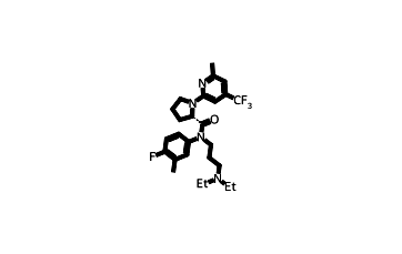 CCN(CC)CCCN(C(=O)[C@@H]1CCCN1c1cc(C(F)(F)F)cc(C)n1)c1ccc(F)c(C)c1